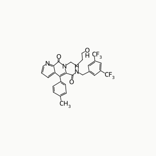 Cc1ccc(-c2c(C(=O)NCc3cc(C(F)(F)F)cc(C(F)(F)F)c3)n(CCCCO)c(=O)c3ncccc23)cc1